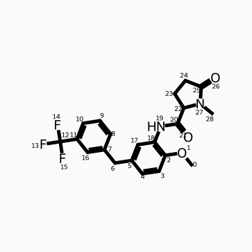 COc1ccc(Cc2cccc(C(F)(F)F)c2)cc1NC(=O)C1CCC(=O)N1C